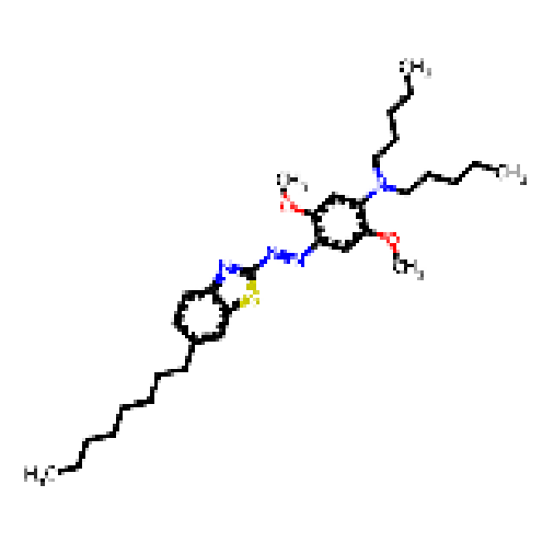 CCCCCCCCc1ccc2nc(N=Nc3cc(OC)c(N(CCCCC)CCCCC)cc3OC)sc2c1